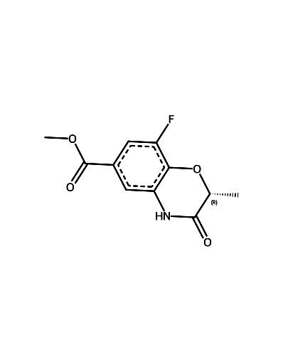 COC(=O)c1cc(F)c2c(c1)NC(=O)[C@@H](C)O2